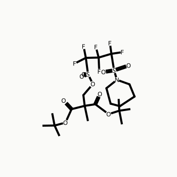 CC(C)(C)OC(=O)C(C)(COS(=O)(=O)C(F)(F)C(F)(F)C(F)(F)S(=O)(=O)N1CCCCC1)C(=O)OC(C)(C)C